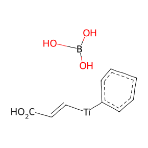 O=C(O)C=[CH][Ti][c]1ccccc1.OB(O)O